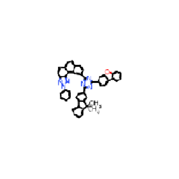 CC1(C)c2ccccc2-c2ccc(-c3nc(-c4ccc5c(c4)oc4ccccc45)nc(-c4ccc5ccc6ccc7nn(-c8ccccc8)nc7c6c5c4)n3)cc21